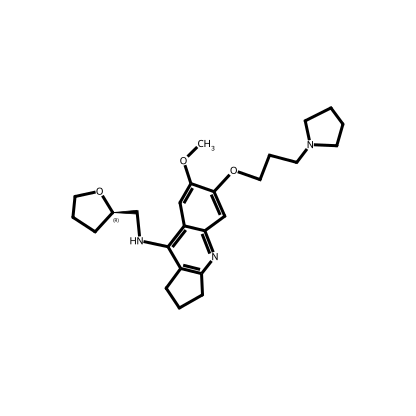 COc1cc2c(NC[C@H]3CCCO3)c3c(nc2cc1OCCCN1CCCC1)CCC3